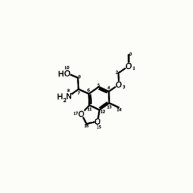 COCOc1cc(C(N)CO)c2c(c1C)OCO2